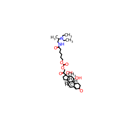 CCN(CC)C(C)CNC(=O)CCCCCOC(=O)OCC(=O)[C@@]1(O)CC[C@H]2[C@@H]3CCC4=CC(=O)CC[C@]4(C)[C@H]3[C@@H](O)C[C@@]21C